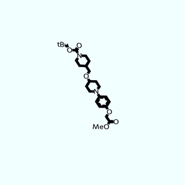 COC(=O)COc1ccc(N2CCC(OCC3CCN(C(=O)OC(C)(C)C)CC3)CC2)cc1